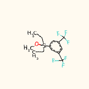 CC[Si](CC)(OC)c1cc(C(F)(F)F)cc(C(F)(F)F)c1